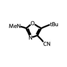 CNc1nc(C#N)c(C(C)(C)C)o1